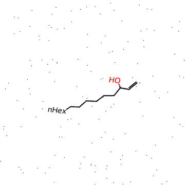 [CH]=CC(O)CCCCCCCCCCCC